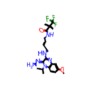 COc1ccc2c(c1)nc(NCCCCNC(=O)C(C)(C)C(F)(F)F)/c(=N/N)n2C(C)C